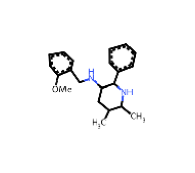 COc1ccccc1CNC1CC(C)C(C)NC1c1ccccc1